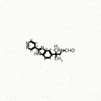 CC(C)(CNC=O)c1ccc2[nH]c(-c3ccnnc3)nc2c1